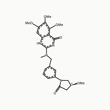 COc1cc2[nH]c(N(C)Cc3cccc(N4C[C@@H](OC)CC4=O)c3)nc(=O)c2c(OC)c1OC